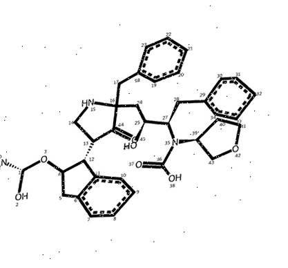 N[C@@H](O)OC1Cc2ccccc2[C@H]1C1CNC(Cc2ccccc2)(C[C@H](O)[C@@H](Cc2ccccc2)N(C(=O)O)[C@H]2CCOC2)C1=O